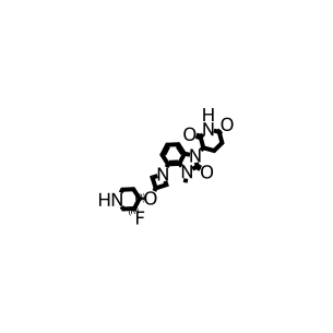 Cn1c(=O)n(C2CCC(=O)NC2=O)c2cccc(N3CC(O[C@@H]4CCNC[C@H]4F)C3)c21